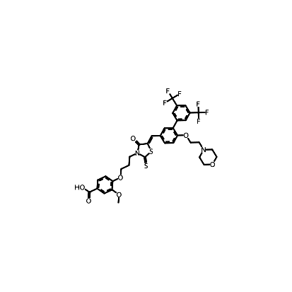 COc1cc(C(=O)O)ccc1OCCCN1C(=O)C(=Cc2ccc(OCCN3CCOCC3)c(-c3cc(C(F)(F)F)cc(C(F)(F)F)c3)c2)SC1=S